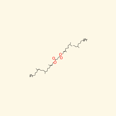 C/C(=C\COC(=O)CCC(=O)OC/C=C(\C)CCCC(C)CCCC(C)CCCC(C)C)CCCC(C)CCCC(C)CCCC(C)C